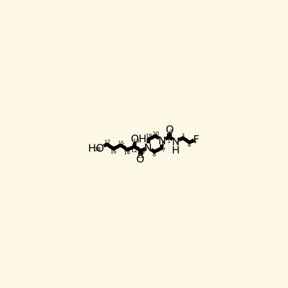 O=C(NCCF)N1CCN(C(=O)C(O)CCCCO)CC1